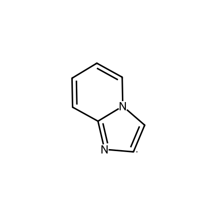 [c]1cn2ccccc2n1